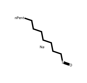 CCCCCCCCCCCC[S+]=O.[Na]